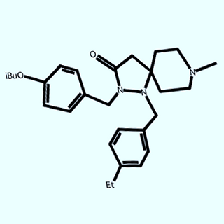 CCc1ccc(CN2N(Cc3ccc(OCC(C)C)cc3)C(=O)CC23CCN(C)CC3)cc1